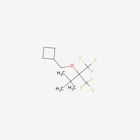 CC(C)(C)C(OCC1CCC1)(C(F)(F)F)C(F)(F)F